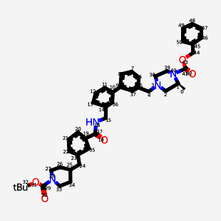 C[C@H]1CN(Cc2cccc(-c3cccc(CNC(=O)c4cccc(CC5CCN(C(=O)OC(C)(C)C)CC5)c4)c3)c2)CCN1C(=O)OCc1ccccc1